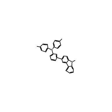 Cc1ccc(N(c2ccc(C)cc2)c2cccc(-c3ccc4c(c3)c3ccccc3n4C)c2)cc1